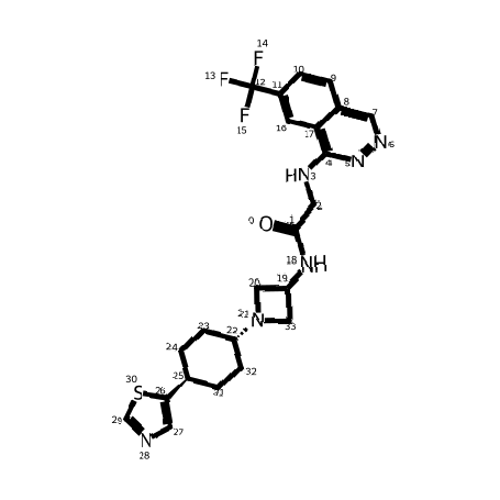 O=C(CNc1nncc2ccc(C(F)(F)F)cc12)NC1CN([C@H]2CC[C@H](c3cncs3)CC2)C1